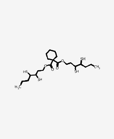 CCCC(S)C(S)CCOC(=O)C1(C(=O)OCCC(S)C(S)CCC)CCCCC1